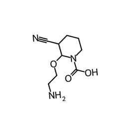 N#CC1CCCN(C(=O)O)C1OCCN